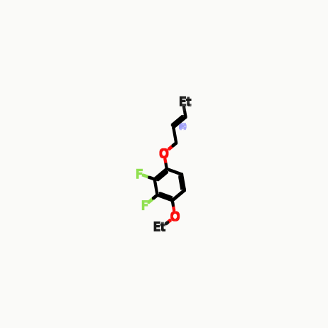 CC/C=C/COc1ccc(OCC)c(F)c1F